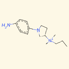 CCC[N+](C)(C)C1CCN(c2ccc(N)cc2)C1